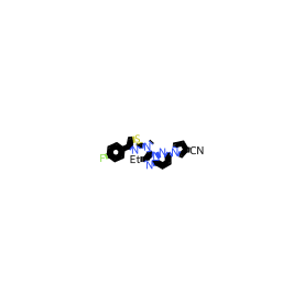 CCc1nc2ccc(N3CCC(C#N)C3)nn2c1N(C)c1nc(-c2ccc(F)cc2)cs1